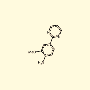 COc1cc(-c2ncccn2)ccc1N